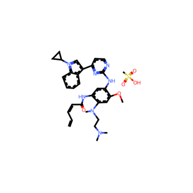 C=C/C=C\C(=O)Nc1cc(Nc2nccc(-c3cn(C4CC4)c4ccccc34)n2)c(OC)cc1N(C)CCN(C)C.CS(=O)(=O)O